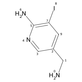 NCc1cnc(N)c(I)c1